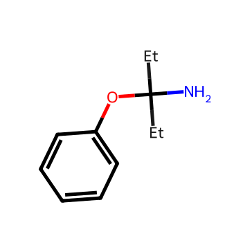 CCC(N)(CC)Oc1ccccc1